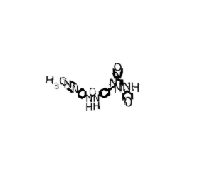 CN1CCN(c2ccc(NC(=O)Nc3ccc(-c4nc(NC5CCOCC5)cc(N5C6CCC5COC6)n4)cc3)cc2)CC1